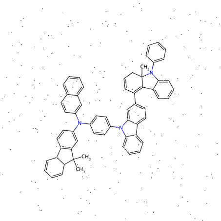 CC1(C)c2cc(N(c3ccc(-n4c5ccccc5c5ccc(C6=C7c8ccccc8N(c8ccccc8)C7(C)CC=C6)cc54)cc3)c3ccc4ccccc4c3)ccc2C2C=CC=CC21